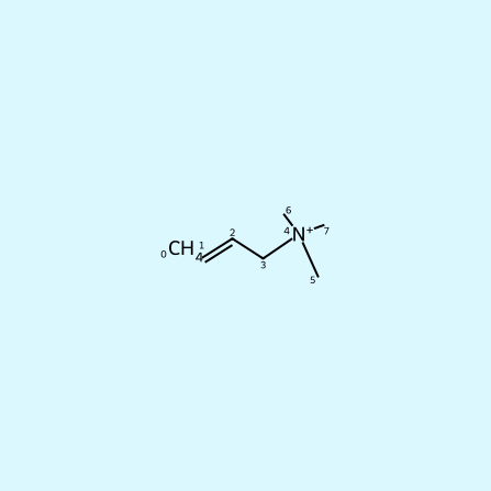 C.C=CC[N+](C)(C)C